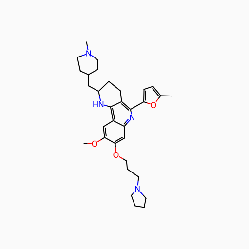 COc1cc2c3c(c(-c4ccc(C)o4)nc2cc1OCCCN1CCCC1)CCC(CC1CCN(C)CC1)N3